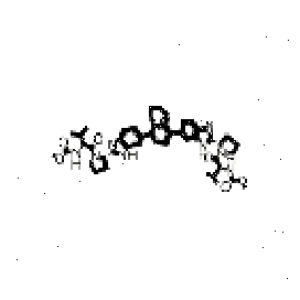 COC(=O)N[C@H](C(=O)N1CCC[C@H]1c1nc2ccc(-c3ccc(-c4ccc5nc([C@@H]6CCCN6C(=O)[C@@H](NC(=O)OC)C(C)C)[nH]c5c4)c4c3C3CCC4O3)cc2[nH]1)C(C)C